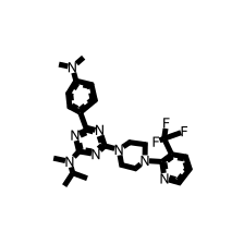 CC(C)N(C)c1nc(-c2ccc(N(C)C)cc2)nc(N2CCN(c3ncccc3C(F)(F)F)CC2)n1